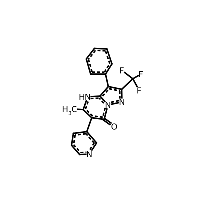 Cc1[nH]c2c(-c3ccccc3)c(C(F)(F)F)nn2c(=O)c1-c1cccnc1